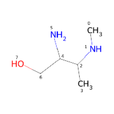 CNC(C)C(N)CO